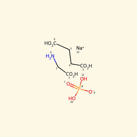 NCC(=O)O.O=C(O)CCC(=O)O.O=P([O-])(O)O.[Na+]